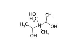 CC(O)[N+](C)(C)C(C)O.[OH-]